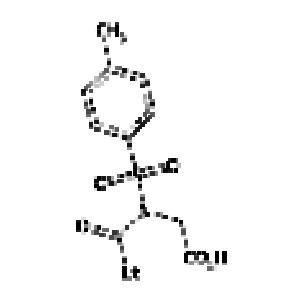 CCC(=O)N(CC(=O)O)S(=O)(=O)c1ccc(C)cc1